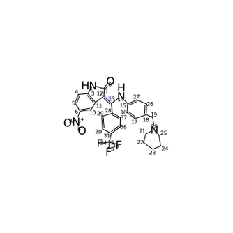 O=C1Nc2ccc([N+](=O)[O-])cc2/C1=C(/Nc1ccc(CN2CCCCC2)cc1)c1ccc(C(F)(F)F)cc1